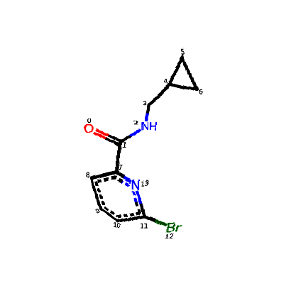 O=C(NCC1CC1)c1cccc(Br)n1